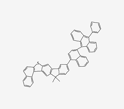 CC1(C)c2ccc(-c3ccc(-c4c5ccccc5c(-c5ccccc5)c5ccccc45)c4ccccc34)cc2-c2cc3sc4ccc5ccccc5c4c3cc21